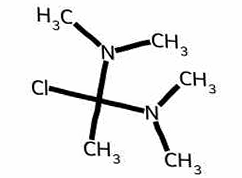 CN(C)C(C)(Cl)N(C)C